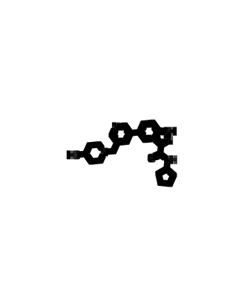 O=C(NC1CCCC1)c1n[nH]c2ccc(-c3cncc(CN4CCC(O)CC4)c3)cc12